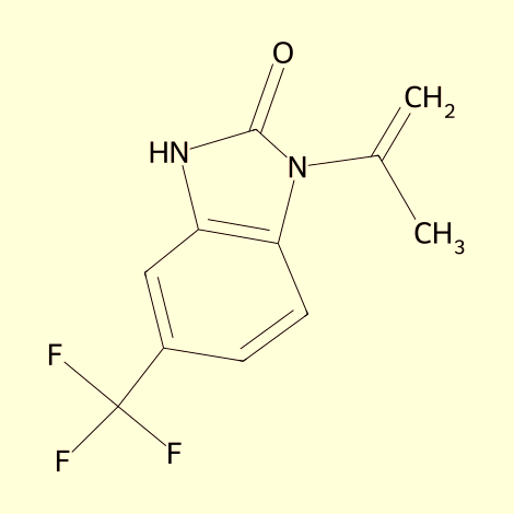 C=C(C)n1c(=O)[nH]c2cc(C(F)(F)F)ccc21